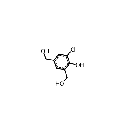 OCc1cc(Cl)c(O)c(CO)c1